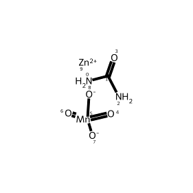 NC(N)=O.[O]=[Mn](=[O])([O-])[O-].[Zn+2]